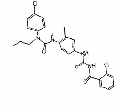 CCCN(C(=O)Nc1ccc(NC(=O)NC(=O)c2ccccc2Cl)cc1C)c1ccc(Cl)cc1